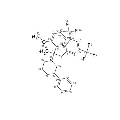 [CH2]C(Cc1cc(C(F)(F)F)cc(C(F)(F)F)c1)(c1ccccc1OC)N1CCCC(c2ccccc2)C1